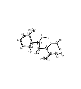 CCN(C(=O)N(CC(C)C)C(=N)N)c1c(C)cccc1Br